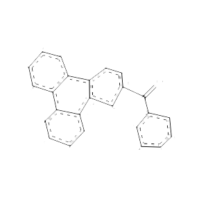 O=C(c1ccccc1)c1ccc2c3ccccc3c3ccccc3c2c1